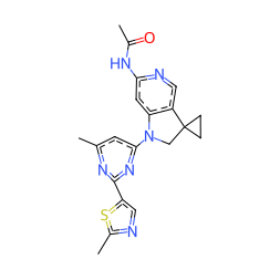 CC(=O)Nc1cc2c(cn1)C1(CC1)CN2c1cc(C)nc(-c2cnc(C)s2)n1